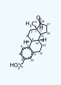 C[C@]12CC[C@@H]3c4ccc(C(=O)O)cc4CC[C@H]3[C@@H]1CCC2=O